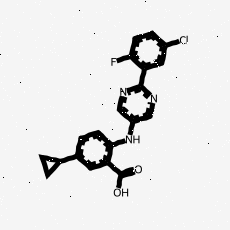 O=C(O)c1cc(C2CC2)ccc1Nc1cnc(-c2cc(Cl)ccc2F)nc1